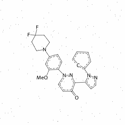 COc1cc(N2CCC(F)(F)CC2)ccc1-n1ccc(=O)c(-c2ccnn2-c2ccccc2)n1